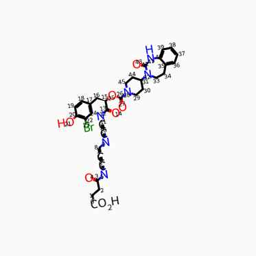 O=C(O)CCC(=O)N=C=C=CN=C=C=NC(=O)[C@@H](Cc1ccc(O)c(Br)c1)OC(=O)N1CCC(N2CCc3ccccc3NC2=O)CC1